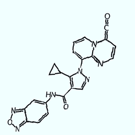 O=C=C1C=CN=C2C(n3ncc(C(=O)Nc4ccc5nonc5c4)c3C3CC3)=CC=CN12